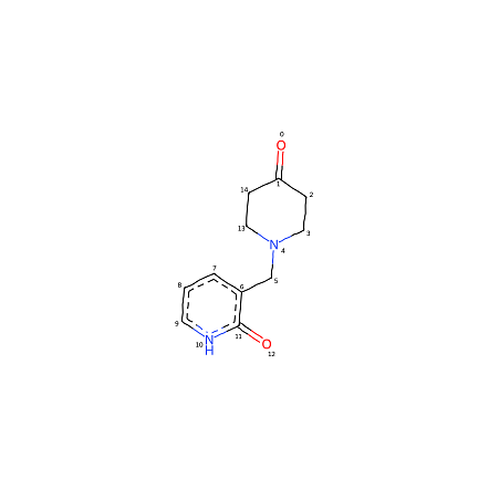 O=C1CCN(Cc2ccc[nH]c2=O)CC1